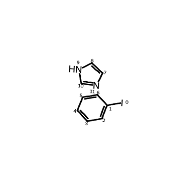 Ic1ccccc1.c1c[nH]cn1